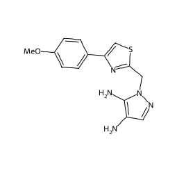 COc1ccc(-c2csc(Cn3ncc(N)c3N)n2)cc1